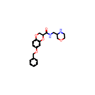 O=C(NCC1COCCN1)C1COc2ccc(OCc3ccccc3)cc2O1